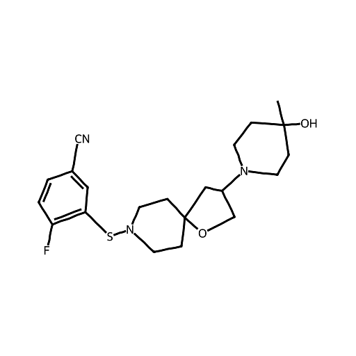 CC1(O)CCN(C2COC3(CCN(Sc4cc(C#N)ccc4F)CC3)C2)CC1